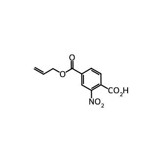 C=CCOC(=O)c1ccc(C(=O)O)c([N+](=O)[O-])c1